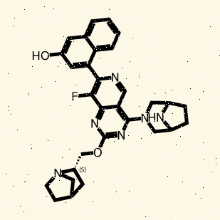 Oc1cc(-c2ncc3c(N4CC5CCC(C4)N5)nc(OC[C@@H]4CC5CCN4C5)nc3c2F)c2ccccc2c1